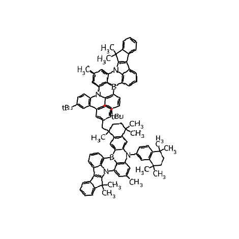 Cc1cc2c3c(c1)-n1c4c(c5cccc(c51)B3c1cc3c(cc1N2c1ccc2c(c1)C(C)(C)CCC2(C)C)C(C)(C)CCC3(C)Cc1cccc(-c2cc(C(C)(C)C)ccc2N2c3cc(C(C)(C)C)ccc3B3c5c2cc(C)cc5-n2c5c(c6cccc3c62)-c2ccccc2C5(C)C)c1)-c1ccccc1C4(C)C